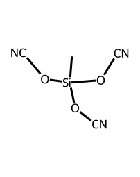 C[Si](OC#N)(OC#N)OC#N